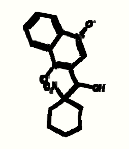 O=[N+]([O-])C1(C(O)c2c[n+]([O-])c3ccccc3[n+]2[O-])CCCCC1